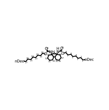 CCCCCCCCCCCCCCCCCCOC(=O)NC1(CC2(NC(=O)OCCCCCCCCCCCCCCCCCC)CCCCC2)CCCCC1